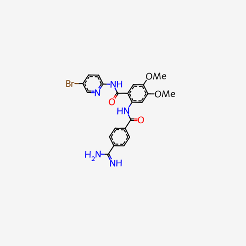 COc1cc(NC(=O)c2ccc(C(=N)N)cc2)c(C(=O)Nc2ccc(Br)cn2)cc1OC